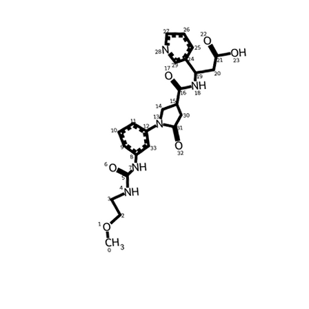 COCCNC(=O)Nc1cccc(N2CC(C(=O)NC(CC(=O)O)c3cccnc3)CC2=O)c1